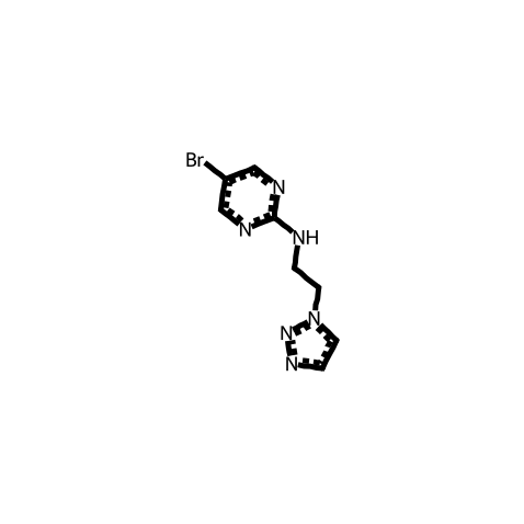 Brc1cnc(NCCn2ccnn2)nc1